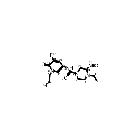 CCN1CCN(C(=O)Nc2cc(F)c(=O)n(CCF)c2)CC1N=O